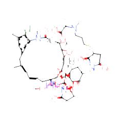 CO[C@@H]1/C=C/C=C(\C)Cc2cc(C)c(Cl)c(c2)N(C)C(=O)C[C@H](OC(=O)[C@H](C)N(C)CCCSC2CC(=O)N(C[C@H]3CC[C@H](C(=O)ON4C(=O)CCC4=O)CC3)C2=O)[C@]2(C)O[C@H]2[C@H](C)[C@@H]2C[C@@]1(O)NC(=O)O2